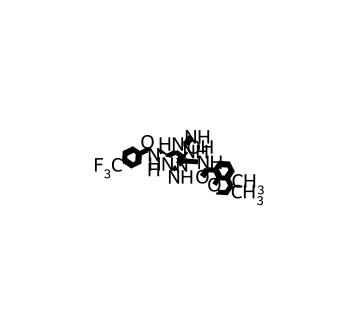 CC1(C)CCOc2c(C(=O)NC3CN4C(=N)N[C@@H](CNC(=O)c5ccc(C(F)(F)F)cc5)C5NC(=N)NC54[C@@H]3O)cccc21